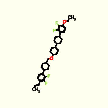 CCCc1ccc(C2CCC(COC3CCC(C4CCC(c5ccc(OCC)c(F)c5F)CC4)CC3)CC2)c(F)c1F